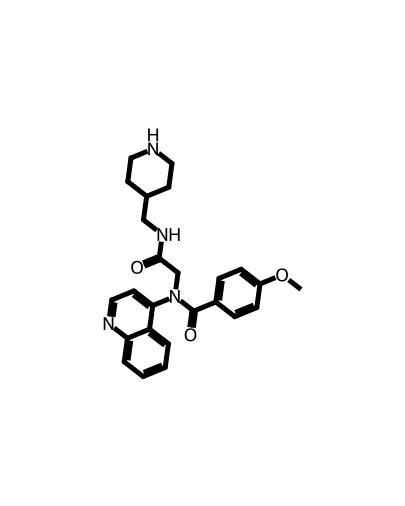 COc1ccc(C(=O)N(CC(=O)NCC2CCNCC2)c2ccnc3ccccc23)cc1